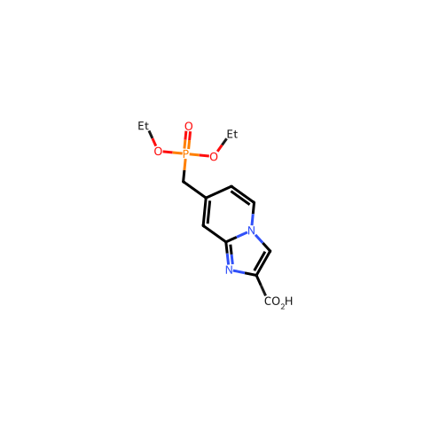 CCOP(=O)(Cc1ccn2cc(C(=O)O)nc2c1)OCC